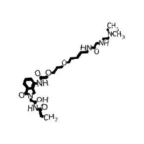 CCC(=O)NC(O)CN1Cc2c(NC(=O)COCCCOCCCCCNC(=O)CNCCN(C)CC)cccc2C1=O